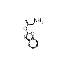 C=C(CN)Oc1nc2ccccc2o1